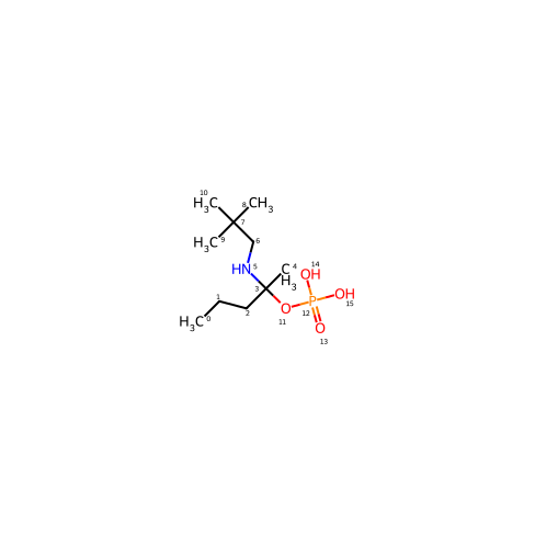 CCCC(C)(NCC(C)(C)C)OP(=O)(O)O